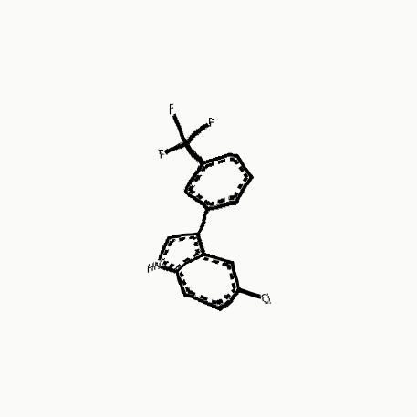 FC(F)(F)c1cccc(-c2c[nH]c3ccc(Cl)cc23)c1